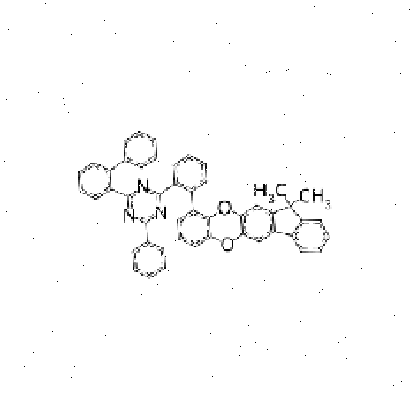 CC1(C)c2ccccc2-c2cc3c(cc21)Oc1c(cccc1-c1ccccc1-c1nc(-c2ccccc2)nc(-c2ccccc2-c2ccccc2)n1)O3